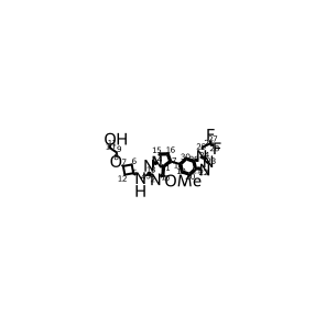 COc1nc(NC2CC(OCCO)C2)nn2ccc(-c3ccc4nnn(CC(F)F)c4c3)c12